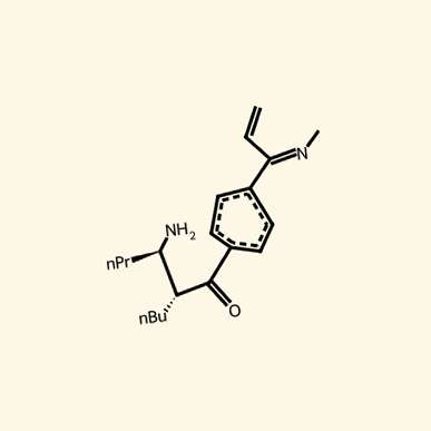 C=C/C(=N\C)c1ccc(C(=O)[C@H](CCCC)[C@H](N)CCC)cc1